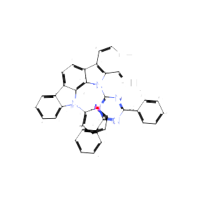 C=Cc1c(/C=C\C)c2ccc3c4ccccc4n(-c4ccccc4)c3c2n1-c1nc(-c2ccccc2)nc(-c2ccccc2)n1